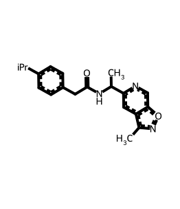 Cc1noc2cnc(C(C)NC(=O)Cc3ccc(C(C)C)cc3)cc12